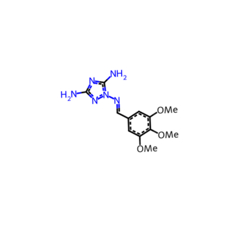 COc1cc(/C=N/n2nc(N)nc2N)cc(OC)c1OC